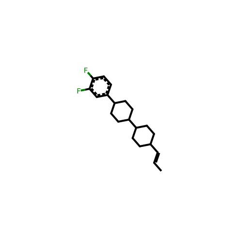 CC=CC1CCC(C2CCC(c3ccc(F)c(F)c3)CC2)CC1